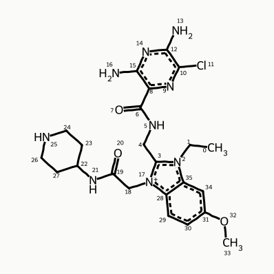 CCn1c(CNC(=O)c2nc(Cl)c(N)nc2N)[n+](CC(=O)NC2CCNCC2)c2ccc(OC)cc21